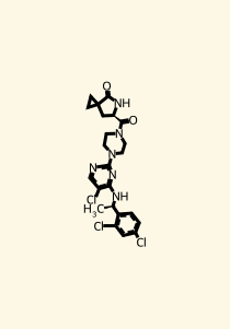 C[C@@H](Nc1nc(N2CCN(C(=O)[C@H]3CC4(CC4)C(=O)N3)CC2)ncc1Cl)c1ccc(Cl)cc1Cl